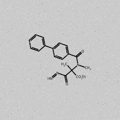 CCOC(=O)C(C)(C(=O)N=N)N(C)C(=O)c1ccc(-c2ccccc2)cc1